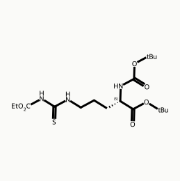 CCOC(=O)NC(=S)NCCC[C@H](NC(=O)OC(C)(C)C)C(=O)OC(C)(C)C